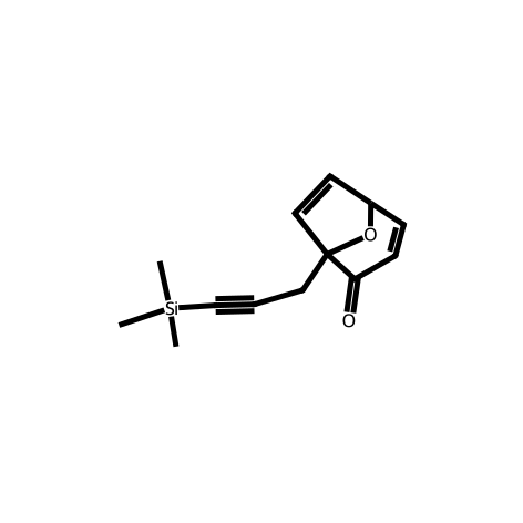 C[Si](C)(C)C#CCC12C=CC(C=CC1=O)O2